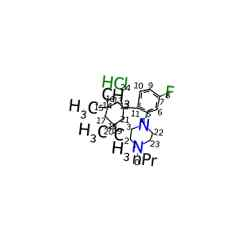 CCCN1CCN(c2cc(F)ccc2C2CC(C)(C)CC(C)(C)C2)CC1.Cl